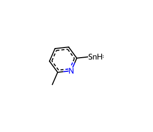 Cc1ccc[c]([SnH])n1